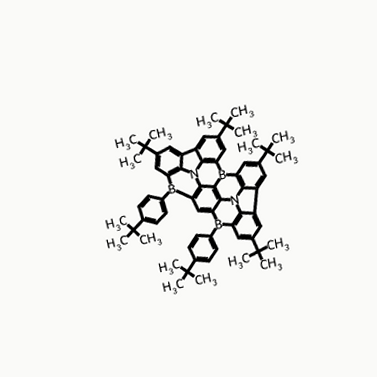 CC(C)(C)c1ccc(B2c3cc4c5c6c3-n3c7c2cc(C(C)(C)C)cc7c2cc(C(C)(C)C)cc(c23)B6c2cc(C(C)(C)C)cc3c6cc(C(C)(C)C)cc(c6n-5c23)B4c2ccc(C(C)(C)C)cc2)cc1